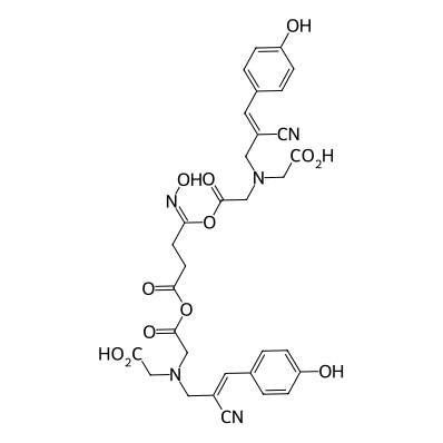 N#C/C(=C\c1ccc(O)cc1)CN(CC(=O)O)CC(=O)OC(=O)CC/C(=N/O)OC(=O)CN(CC(=O)O)C/C(C#N)=C/c1ccc(O)cc1